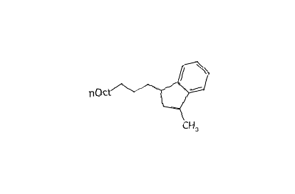 CCCCCCCCCCCC1CC(C)c2ccccc21